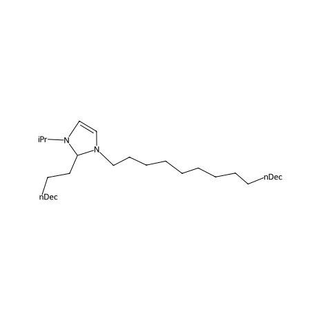 CCCCCCCCCCCCCCCCCCCN1C=CN(C(C)C)C1CCCCCCCCCCCC